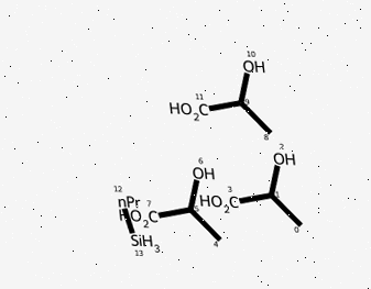 CC(O)C(=O)O.CC(O)C(=O)O.CC(O)C(=O)O.CCC[SiH3]